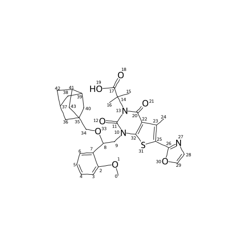 COc1ccccc1C(Cn1c(=O)n(C(C)(C)C(=O)O)c(=O)c2c(C)c(-c3ncco3)sc21)OCC12CC3CC(C1)C(C3)C2